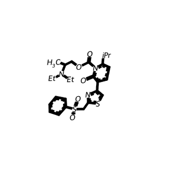 CCN(CC)C(C)COC(=O)n1c(C(C)C)ccc(-c2csc(CS(=O)(=O)c3ccccc3)n2)c1=O